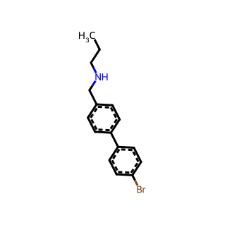 CCCNCc1ccc(-c2ccc(Br)cc2)cc1